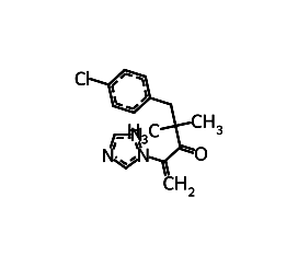 C=C(C(=O)C(C)(C)Cc1ccc(Cl)cc1)n1cncn1